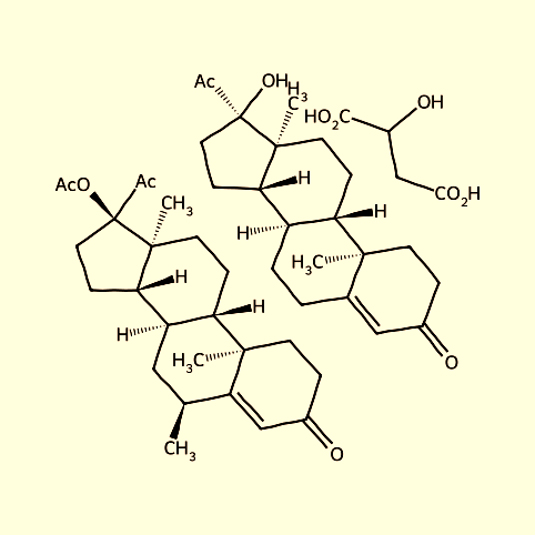 CC(=O)O[C@]1(C(C)=O)CC[C@H]2[C@@H]3C[C@H](C)C4=CC(=O)CC[C@]4(C)[C@H]3CC[C@@]21C.CC(=O)[C@@]1(O)CC[C@H]2[C@@H]3CCC4=CC(=O)CC[C@]4(C)[C@H]3CC[C@@]21C.O=C(O)CC(O)C(=O)O